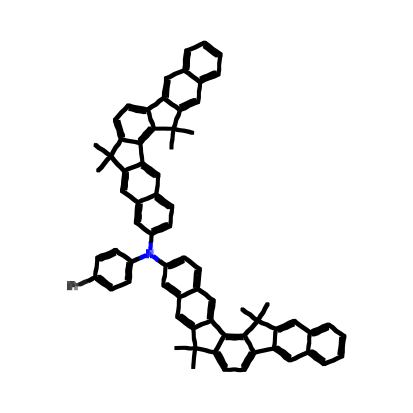 CC(C)c1ccc(N(c2ccc3cc4c(cc3c2)C(C)(C)c2ccc3c(c2-4)C(C)(C)c2cc4ccccc4cc2-3)c2ccc3cc4c(cc3c2)C(C)(C)c2ccc3c(c2-4)C(C)(C)c2cc4ccccc4cc2-3)cc1